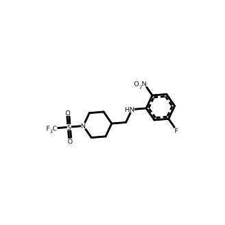 O=[N+]([O-])c1ccc(F)cc1NCC1CCN(S(=O)(=O)C(F)(F)F)CC1